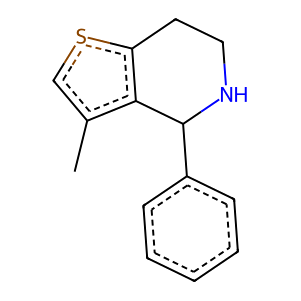 Cc1csc2c1C(c1ccccc1)NCC2